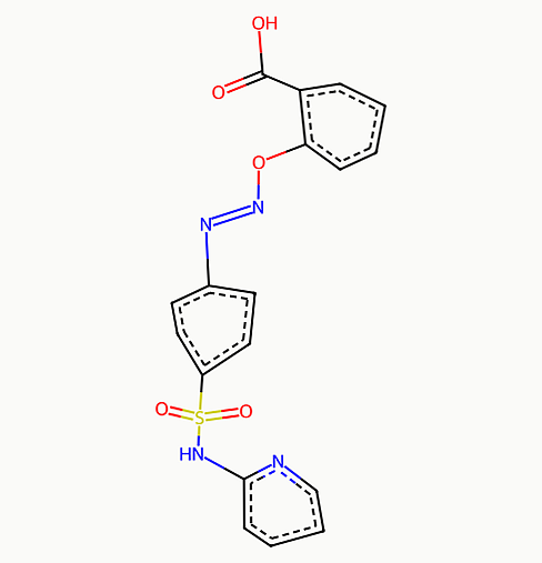 O=C(O)c1ccccc1ON=Nc1ccc(S(=O)(=O)Nc2ccccn2)cc1